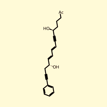 CC(=O)CCC[C@H](O)C#C/C=C/C=C/[C@H](O)CC#Cc1ccccc1